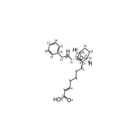 O=C(O)C=CCCCC[C@H]1[C@H](CNCc2ccccc2)[C@H]2CC[C@@H]1O2